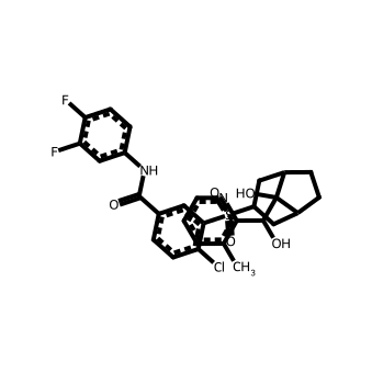 Cc1cccnc1C(O)C1(O)C2CCC1CC(S(=O)(=O)c1cc(C(=O)Nc3ccc(F)c(F)c3)ccc1Cl)C2